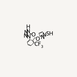 O=c1[nH]nnn1-c1cccc(C(F)(F)F)c1COc1ccn(S)n1